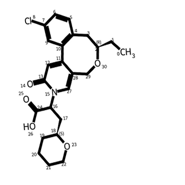 CC[C@@H]1Cc2ccc(Cl)cc2-c2cc(=O)n(C(C[C@@H]3CCCCO3)C(=O)O)cc2CO1